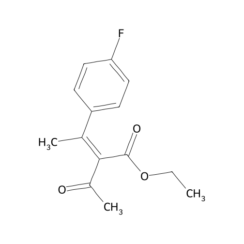 CCOC(=O)/C(C(C)=O)=C(/C)c1ccc(F)cc1